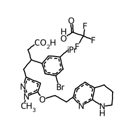 CC(C)c1cc(Br)cc(C(CC(=O)O)Cc2cc(OCCc3ccc4c(n3)NCCC4)n(C)n2)c1.O=C(O)C(F)(F)F